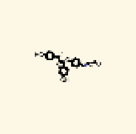 O=CO/C=C/c1ccc(Oc2c(C(=O)c3ccc(O)cc3)sc3cc(O)ccc23)cc1